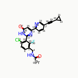 CC(C)C(=O)NCc1ccc(Cl)c(-c2nc(-c3ccc(C#CC4CC4)cn3)cc(=O)[nH]2)c1F